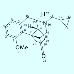 COc1cccc2c1[C@]13CCN(CC4CC4)[C@H](C2)[C@@H]1CCC(=O)C3